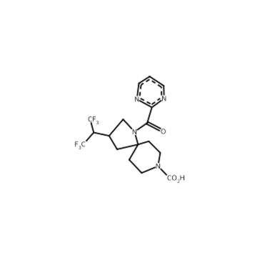 O=C(O)N1CCC2(CC1)CC(C(C(F)(F)F)C(F)(F)F)CN2C(=O)c1ncccn1